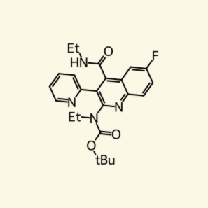 CCNC(=O)c1c(-c2ccccn2)c(N(CC)C(=O)OC(C)(C)C)nc2ccc(F)cc12